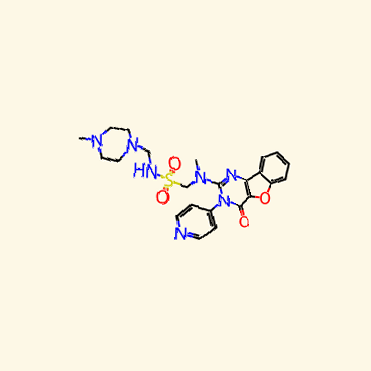 CN1CCN(CNS(=O)(=O)CN(C)c2nc3c(oc4ccccc43)c(=O)n2-c2ccncc2)CC1